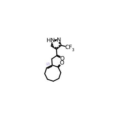 O=C1CCCCC/C=C\1CC(=O)c1c[nH]nc1C(F)(F)F